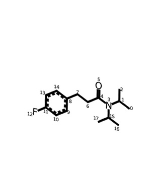 CC(C)N(C(=O)CCc1ccc(F)cc1)C(C)C